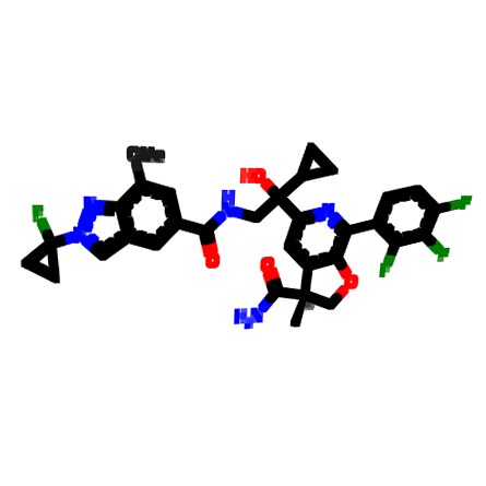 COc1cc(C(=O)NCC(O)(c2cc3c(c(-c4ccc(F)c(F)c4F)n2)OC[C@]3(C)C(N)=O)C2CC2)cc2cn(C3(F)CC3)nc12